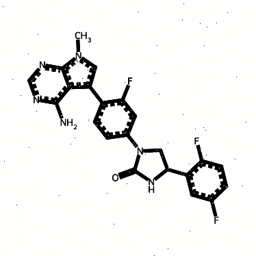 Cn1cc(-c2ccc(N3CC(c4cc(F)ccc4F)NC3=O)cc2F)c2c(N)ncnc21